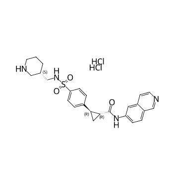 Cl.Cl.O=C(Nc1ccc2cnccc2c1)[C@@H]1C[C@H]1c1ccc(S(=O)(=O)NC[C@H]2CCCNC2)cc1